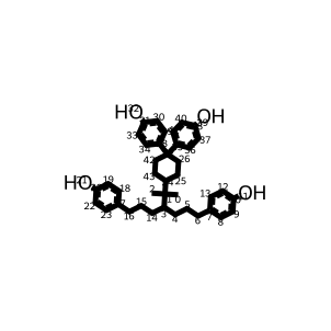 CC(C)(C(CCCc1ccc(O)cc1)CCCc1ccc(O)cc1)C1CCC(c2ccc(O)cc2)(c2ccc(O)cc2)CC1